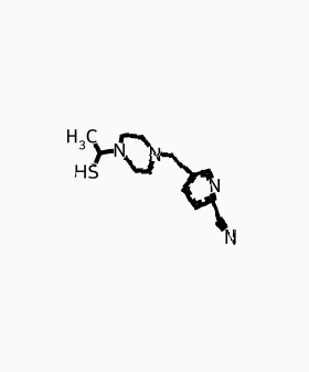 CC(S)N1CCN(Cc2ccc(C#N)nc2)CC1